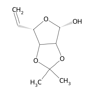 C=C[C@@H]1O[C@H](O)C2OC(C)(C)OC21